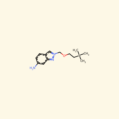 C[Si](C)(C)CCOCn1cc2ccc(N)cc2n1